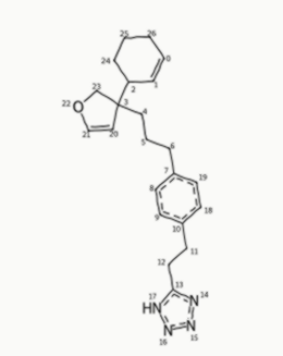 C1=CC(C2(CCCc3ccc(CCc4nnn[nH]4)cc3)C=COC2)CCC1